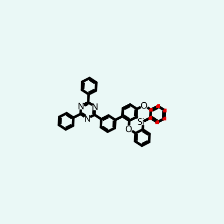 c1ccc(-c2nc(-c3ccccc3)nc(-c3cccc(-c4ccc5c6c4Oc4ccccc4[Si]6(c4ccccc4)c4ccccc4O5)c3)n2)cc1